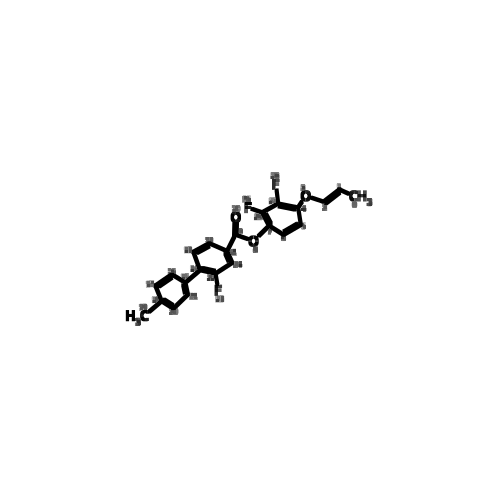 C/C=C/Oc1ccc(OC(=O)c2ccc(-c3ccc(C)cc3)c(F)c2)c(F)c1F